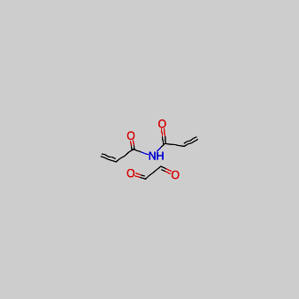 C=CC(=O)NC(=O)C=C.O=CC=O